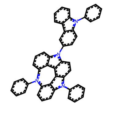 c1ccc(-n2c3ccccc3c3cc(-n4c5ccc6c7c5c5c4cccc5n(-c4ccccc4)c4cccc(c74)n6-c4ccccc4)ccc32)cc1